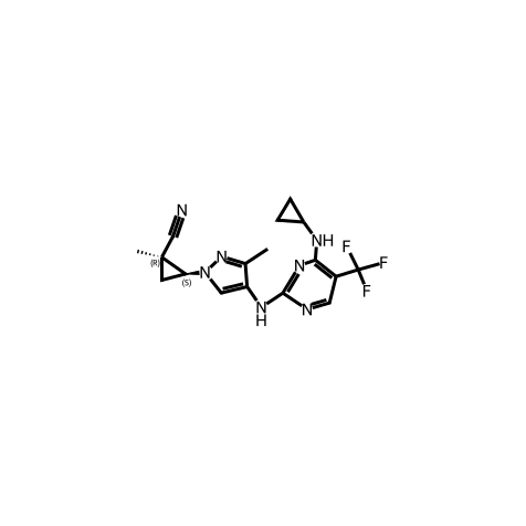 Cc1nn([C@H]2C[C@@]2(C)C#N)cc1Nc1ncc(C(F)(F)F)c(NC2CC2)n1